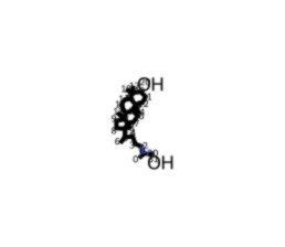 C/C(=C\CCC(C)C1CCC2(C)C3CCC4C(C)(C)C(O)CCC45CC35CCC12C)CO